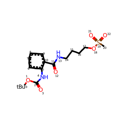 CC(C)(C)OC(=O)Nc1ccccc1C(=O)NCCCCOS(C)(=O)=O